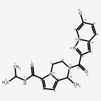 CC(C)NC(=O)c1ccc2n1CCN(C(=O)c1cc3ccc(Cl)cn3n1)C2C